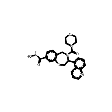 O=C(NO)c1ccc2c(c1)OCC(c1cccc3ncccc13)N(C(=O)N1CCOCC1)C2